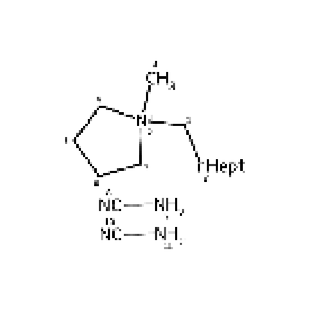 CCCCCCCC[N+]1(C)CCCC1.N#CN.N#CN